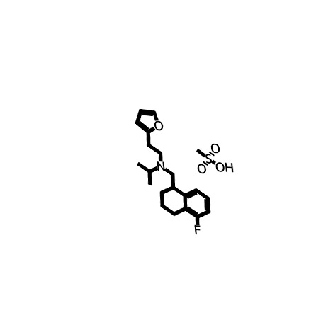 CC(C)N(CCc1ccco1)CC1CCCc2c(F)cccc21.CS(=O)(=O)O